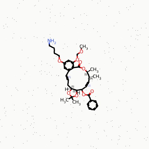 COCOc1cc(OCCCCN)cc2c1C(=O)O[C@@H](C)[C@H](C)/C=C\C(OC(=O)c1ccccc1)[C@H]1OC(C)(C)O[C@H]1C/C=C/2